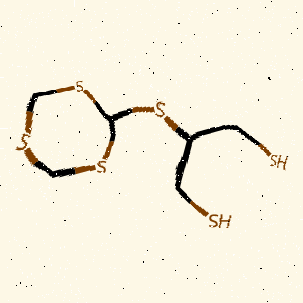 SCC(CS)SC1SCSCS1